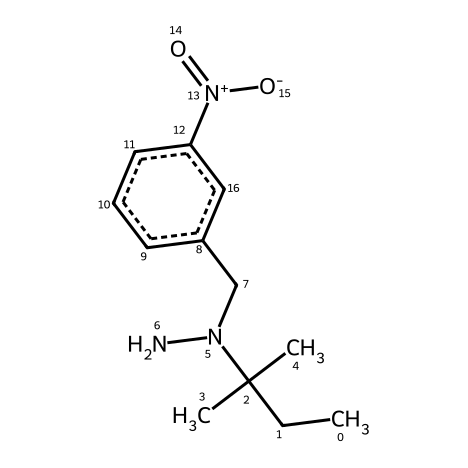 CCC(C)(C)N(N)Cc1cccc([N+](=O)[O-])c1